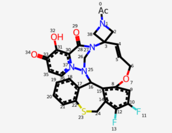 CC(=O)N1CC2(/C=C/COc3cc(F)c(F)c4c3C(c3ccccc3SC4)N3CN2C(=O)c2c(O)c(=O)ccn23)C1